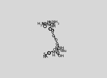 Cc1ncsc1-c1ccc(CNC(=O)[C@@H]2C[C@@H](O)CN2C(=O)C(NC(=O)COCCOCCOCCn2ccc3c(Nc4nc(N[C@@H]5CCCC[C@@H]5N)nnc4C(N)=O)cccc32)C(C)(C)C)cc1